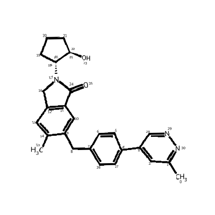 Cc1cc(-c2ccc(Cc3cc4c(cc3C)CN([C@@H]3CCC[C@H]3O)C4=O)cc2)cnn1